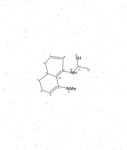 CNC1=CCCC2CC=CC(NC(C)S)=C12